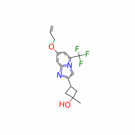 C=CCOc1cc(C(F)(F)F)n2cc(C3CC(C)(O)C3)nc2c1